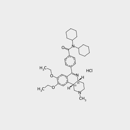 CCOc1cc2c(cc1OCC)[C@H]1CN(C)CC[C@H]1N=C2c1ccc(C(=O)N(C2CCCCC2)C2CCCCC2)cc1.Cl